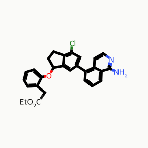 CCOC(=O)Cc1ccccc1OC1CCc2c(Cl)cc(-c3cccc4c(N)nccc34)cc21